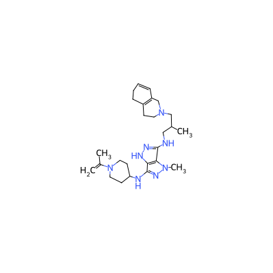 C=C(C)N1CCC(Nc2nn(C)c3c(NCC(C)CN4CCC5=C(C=CCC5)C4)n[nH]c23)CC1